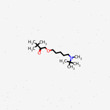 CN(CCCCCOCC(=O)C(C)(C)C)C(C)(C)C